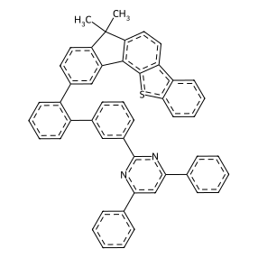 CC1(C)c2ccc(-c3ccccc3-c3cccc(-c4nc(-c5ccccc5)cc(-c5ccccc5)n4)c3)cc2-c2c1ccc1c2sc2ccccc21